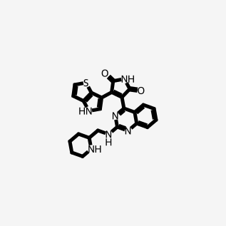 O=C1NC(=O)C(c2c[nH]c3ccsc23)=C1c1nc(NCC2CCCCN2)nc2ccccc12